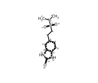 CN(C)S(=O)(=O)CCc1ccc2[nH]c(=O)[nH]c2c1